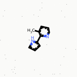 Cc1cccnc1-c1ccc[nH]1